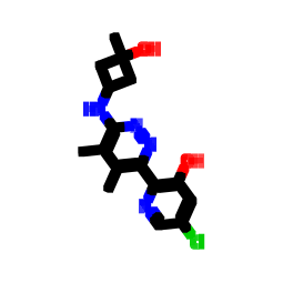 Cc1c(NC2CC(C)(O)C2)nnc(-c2ncc(Cl)cc2O)c1C